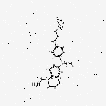 COCCOc1ccc(N(C)c2ccc3c(c2)CCC[C@H]3CN)cc1